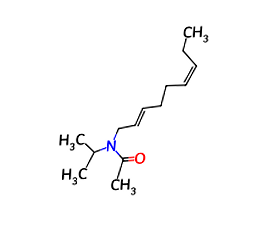 CC/C=C\CC/C=C/CN(C(C)=O)C(C)C